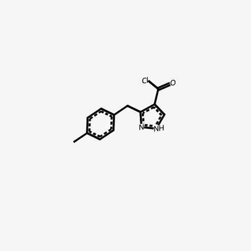 Cc1ccc(Cc2n[nH]cc2C(=O)Cl)cc1